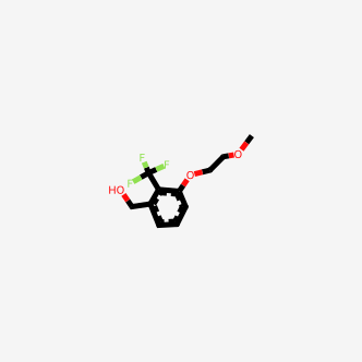 COCCOc1cccc(CO)c1C(F)(F)F